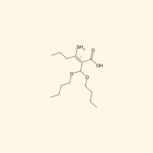 CCCCOC(OCCCC)/C(C(=O)O)=C(/[SiH3])CCC